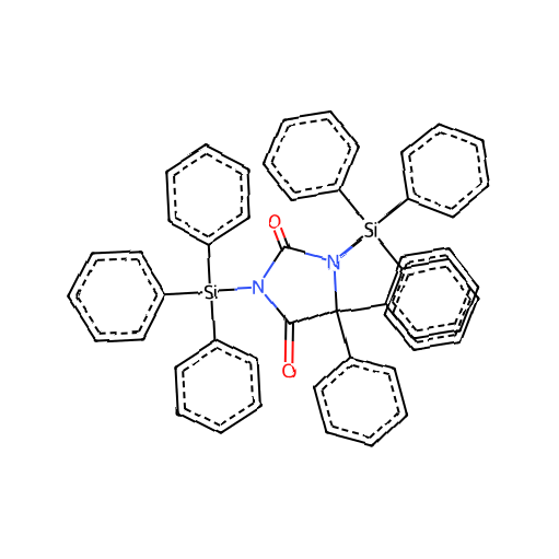 O=C1N([Si](c2ccccc2)(c2ccccc2)c2ccccc2)C(=O)C(c2ccccc2)(c2ccccc2)N1[Si](c1ccccc1)(c1ccccc1)c1ccccc1